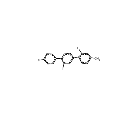 Cc1ccc(-c2ccc(-c3ccc(F)cc3)c(F)c2)c(F)c1